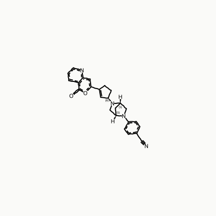 N#Cc1ccc(N2C[C@@H]3C[C@H]2CN3[C@H]2C=C(c3cc4ncccc4c(=O)o3)CC2)cc1